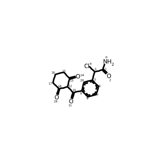 NC(=O)C(Cl)c1cccc(C(=O)C2C(=O)CCCC2=O)c1